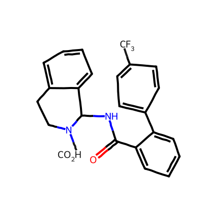 O=C(NC1c2ccccc2CCN1C(=O)O)c1ccccc1-c1ccc(C(F)(F)F)cc1